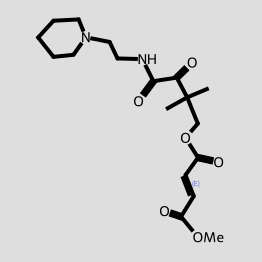 COC(=O)/C=C/C(=O)OCC(C)(C)C(=O)C(=O)NCCN1CCCCC1